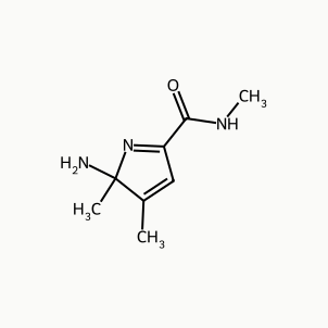 CNC(=O)C1=NC(C)(N)C(C)=C1